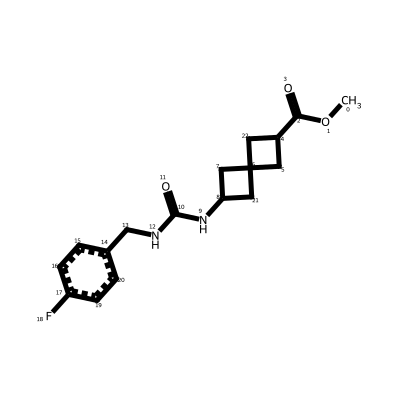 COC(=O)C1CC2(CC(NC(=O)NCc3ccc(F)cc3)C2)C1